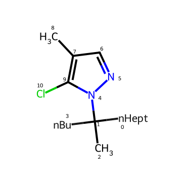 CCCCCCCC(C)(CCCC)n1ncc(C)c1Cl